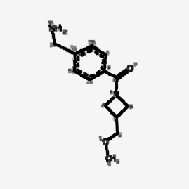 COCC1CN(C(=O)c2ccc(CN)cc2)C1